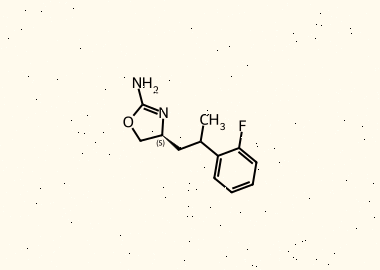 CC(C[C@H]1COC(N)=N1)c1ccccc1F